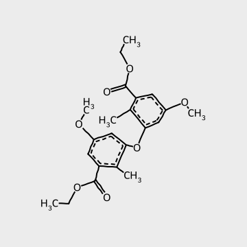 CCOC(=O)c1cc(OC)cc(Oc2cc(OC)cc(C(=O)OCC)c2C)c1C